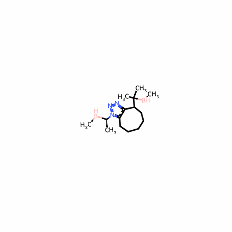 CB[C@H](C)n1nnc2c1CCCCCC2C(C)(C)BC